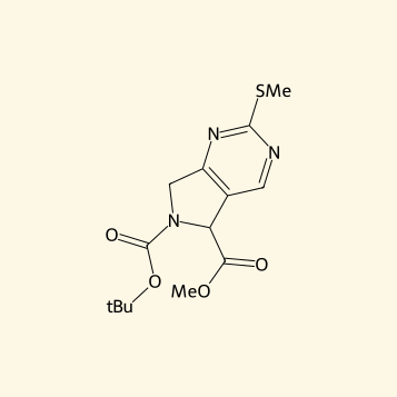 COC(=O)C1c2cnc(SC)nc2CN1C(=O)OC(C)(C)C